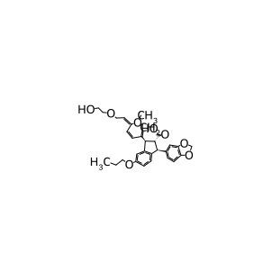 C=C(/C=C\C(=C/COCCO)OC)[C@@H]1c2cc(OCCC)ccc2[C@H](c2ccc3c(c2)OCO3)[C@H]1C(=O)O